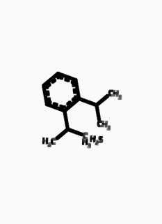 CC(C)c1ccccc1C(C)C.S